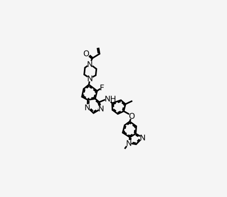 C=CC(=O)N1CCN(c2ccc3ncnc(Nc4ccc(Oc5ccc6c(c5)ncn6C)c(C)c4)c3c2F)CC1